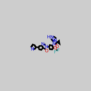 O=C(Nc1cc(-n2cnc3cc(-c4cccnc4)ccc3c2=O)ccc1OC(F)F)C1(N2CCNCC2)CC1